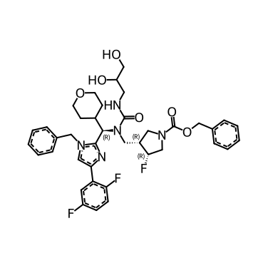 O=C(OCc1ccccc1)N1C[C@@H](CN(C(=O)NCC(O)CO)[C@@H](c2nc(-c3cc(F)ccc3F)cn2Cc2ccccc2)C2CCOCC2)[C@@H](F)C1